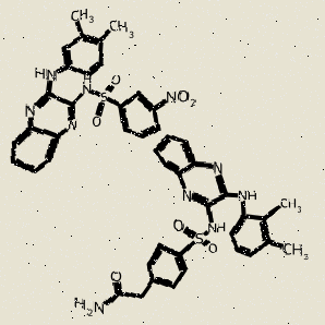 Cc1ccc(Nc2nc3ccccc3nc2NS(=O)(=O)c2cccc([N+](=O)[O-])c2)cc1C.Cc1cccc(Nc2nc3ccccc3nc2NS(=O)(=O)c2ccc(CC(N)=O)cc2)c1C